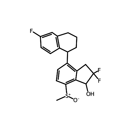 C[S+]([O-])c1ccc(C2CCCc3cc(F)ccc32)c2c1C(O)C(F)(F)C2